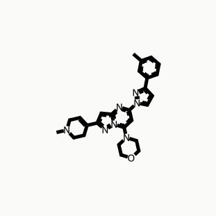 Cc1cccc(-c2ccn(-c3cc(N4CCOCC4)n4nc(C5=CCN(C)CC5)cc4n3)n2)c1